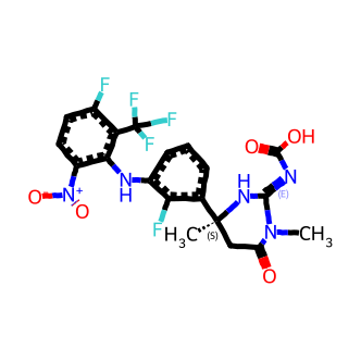 CN1C(=O)C[C@@](C)(c2cccc(Nc3c([N+](=O)[O-])ccc(F)c3C(F)(F)F)c2F)N/C1=N\C(=O)O